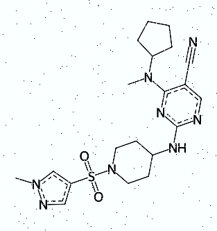 CN(c1nc(NC2CCN(S(=O)(=O)c3cnn(C)c3)CC2)ncc1C#N)C1CCCC1